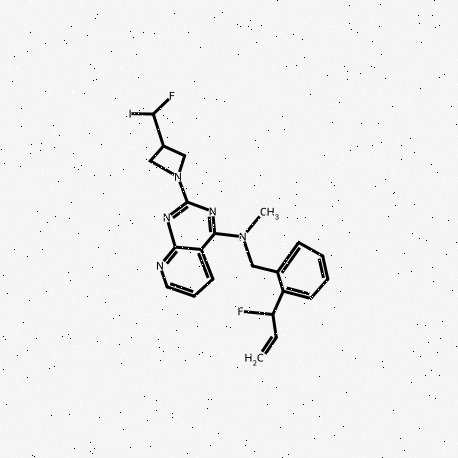 C=CC(F)c1ccccc1CN(C)c1nc(N2CC(C(F)I)C2)nc2ncccc12